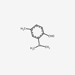 Cc1ccc(C=O)c(N(C)C)c1